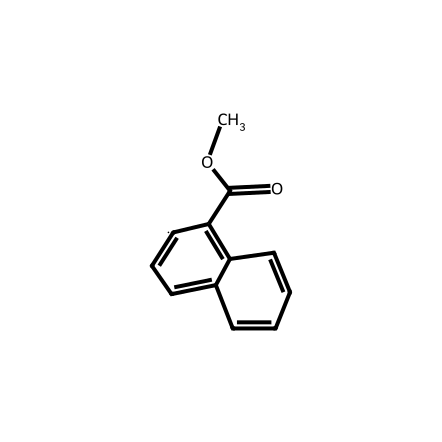 COC(=O)c1[c]ccc2ccccc12